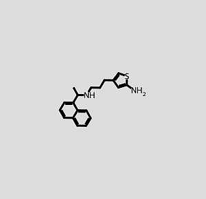 CC(NCCCc1csc(N)c1)c1cccc2ccccc12